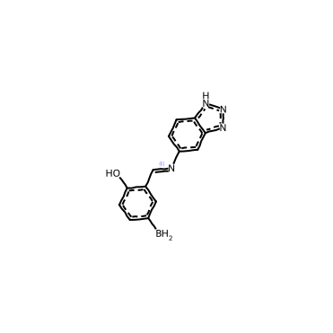 Bc1ccc(O)c(/C=N/c2ccc3[nH]nnc3c2)c1